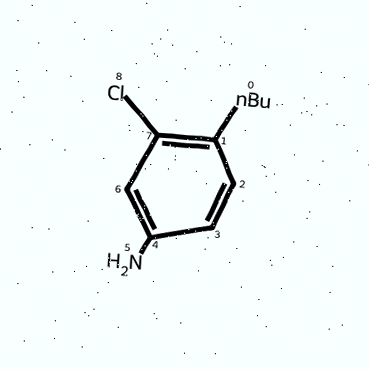 CCCCc1ccc(N)cc1Cl